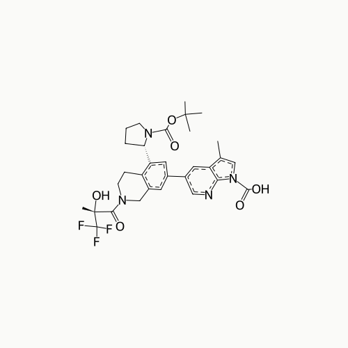 Cc1cn(C(=O)O)c2ncc(-c3cc4c(c([C@@H]5CCCN5C(=O)OC(C)(C)C)c3)CCN(C(=O)[C@@](C)(O)C(F)(F)F)C4)cc12